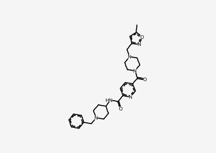 Cc1cc(CN2CCN(C(=O)c3ccc(C(=O)NC4CCN(Cc5ccccc5)CC4)nc3)CC2)no1